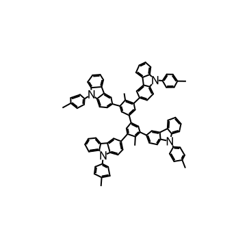 Cc1ccc(-n2c3ccccc3c3cc(-c4cc(-c5cc(-c6ccc7c(c6)c6ccccc6n7-c6ccc(C)cc6)c(C)c(-c6ccc7c(c6)c6ccccc6n7-c6ccc(C)cc6)c5)cc(-c5ccc6c(c5)c5ccccc5n6-c5ccc(C)cc5)c4C)ccc32)cc1